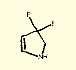 FC1(F)C=CNC1